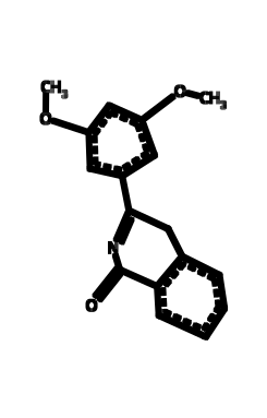 COc1cc(OC)cc(C2=NC(=O)c3ccccc3C2)c1